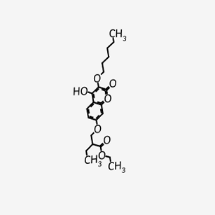 CCCCCCOc1c(O)c2ccc(OCC(CC)C(=O)OCC)cc2oc1=O